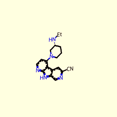 CCN[C@@H]1CCCN(c2ccnc3[nH]c4cnc(C#N)cc4c23)C1